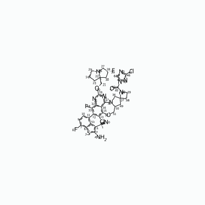 N#Cc1c(N)sc2c(F)ccc(-c3c(Cl)c4c5c(nc(OC[C@@]67CCCN6C[C@H](F)C7)nc5c3F)N3CC5(CCN5C(=O)n5cnc(Cl)n5)CC3CO4)c12